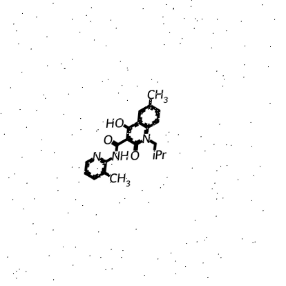 Cc1ccc2c(c1)c(O)c(C(=O)Nc1ncccc1C)c(=O)n2CC(C)C